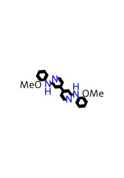 COc1ccccc1Nc1cc(-c2ccnc(Nc3ccccc3OC)c2)ccn1